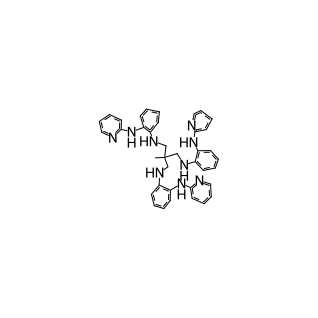 CC(CNc1ccccc1Nc1ccccn1)(CNc1ccccc1Nc1ccccn1)CNc1ccccc1Nc1ccccn1